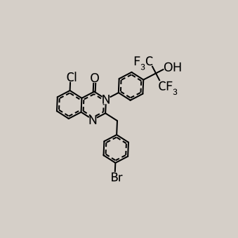 O=c1c2c(Cl)cccc2nc(Cc2ccc(Br)cc2)n1-c1ccc(C(O)(C(F)(F)F)C(F)(F)F)cc1